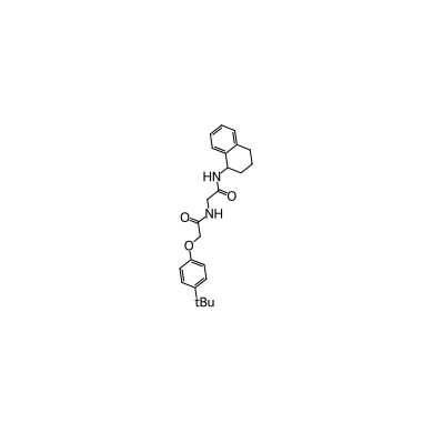 CC(C)(C)c1ccc(OCC(=O)NCC(=O)NC2CCCc3ccccc32)cc1